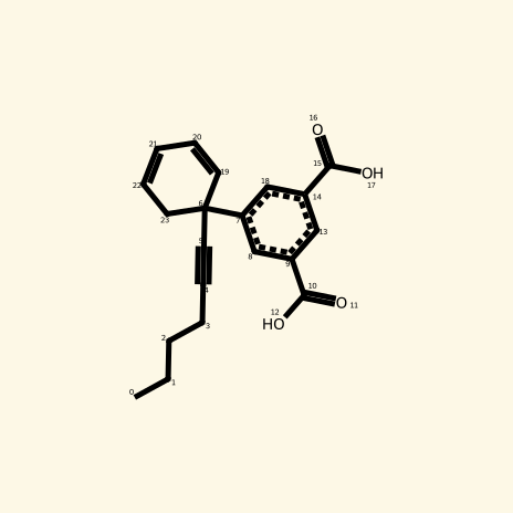 CCCCC#CC1(c2cc(C(=O)O)cc(C(=O)O)c2)C=CC=CC1